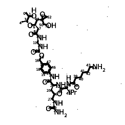 CC(O)[C@H](C)O[C@H](CC(=O)NCNC(=O)OCc1ccc(NC(=O)[C@H](CCCNC(N)=O)NC(=O)[C@@H](NC(=O)CCCCCN)C(C)C)cc1)C[C@]1(CO)CO1